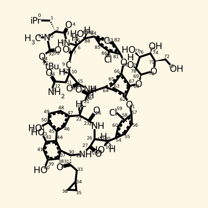 CC(C)C[C@H](C(=O)N[C@H]1C(=O)C[C@@H](CC(N)=O)C(=O)N[C@H]2C(=O)C[C@@H]3C(=O)N[C@H](C(=O)N[C@H](C(=O)CC4CC4)c4cc(O)cc(O)c4-c4cc3ccc4O)[C@H](O)c3ccc(c(Cl)c3)Oc3cc2cc(c3O[C@@H]2O[C@H](CO)[C@@H](O)[C@H](O)[C@H]2O)Oc2ccc(cc2Cl)[C@H]1O)N(C)C(=O)OC(C)(C)C